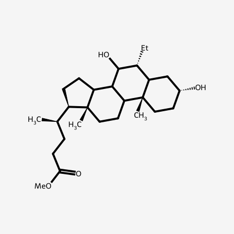 CC[C@H]1C(O)C2C(CC[C@@]3(C)C2CC[C@@H]3[C@H](C)CCC(=O)OC)[C@@]2(C)CC[C@@H](O)CC12